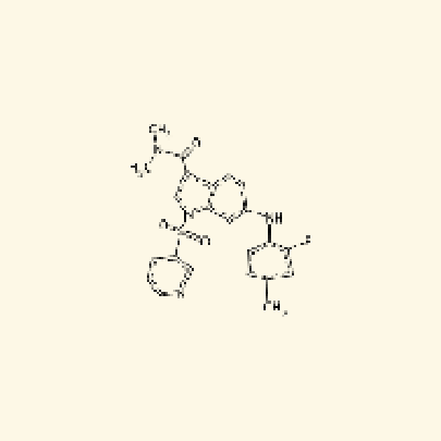 Cc1ccc(Nc2ccc3c(C(=O)N(C)C)cn(S(=O)(=O)c4cccnc4)c3c2)c(F)c1